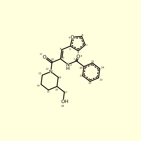 O=C(N/C(=C\c1ccco1)C(=O)N1CCCC(CO)C1)c1ccccc1